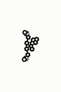 CC12CCCCC1(C)c1cc(-c3ccc4c(c3)C3(c5cc(-c6ccc7c(c6)C6(C)CCCCC6(C)S7)ccc5-4)c4ccccc4-c4c3cc3ccc5cccc6ccc4c3c56)ccc1S2